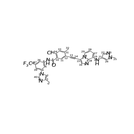 Cc1cn(-c2cc(NC(=O)c3cc(C#Cc4cnc5c(Nc6cnn(C)c6)cccn45)c(C)cc3Cl)cc(C(F)(F)F)c2)cn1